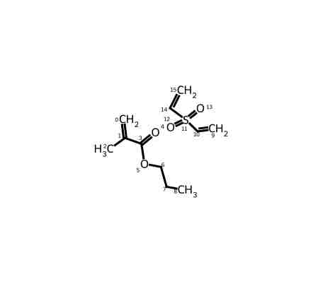 C=C(C)C(=O)OCCC.C=CS(=O)(=O)C=C